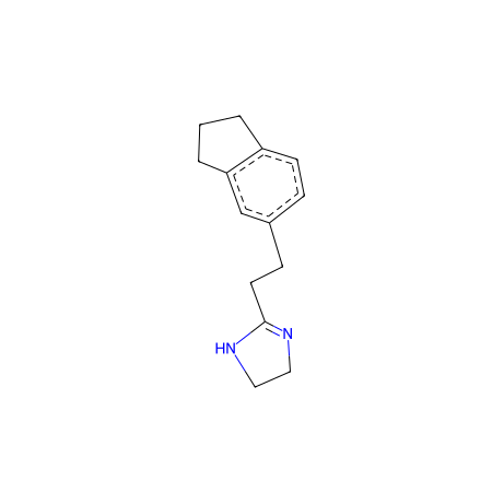 c1cc2c(cc1CCC1=NCCN1)CCC2